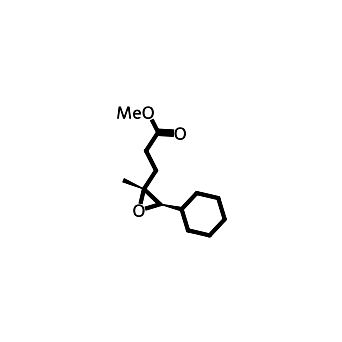 COC(=O)CC[C@@]1(C)O[C@@H]1C1CCCCC1